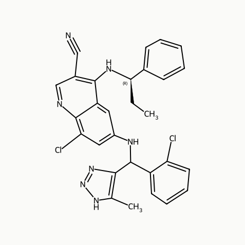 CC[C@@H](Nc1c(C#N)cnc2c(Cl)cc(NC(c3ccccc3Cl)c3nn[nH]c3C)cc12)c1ccccc1